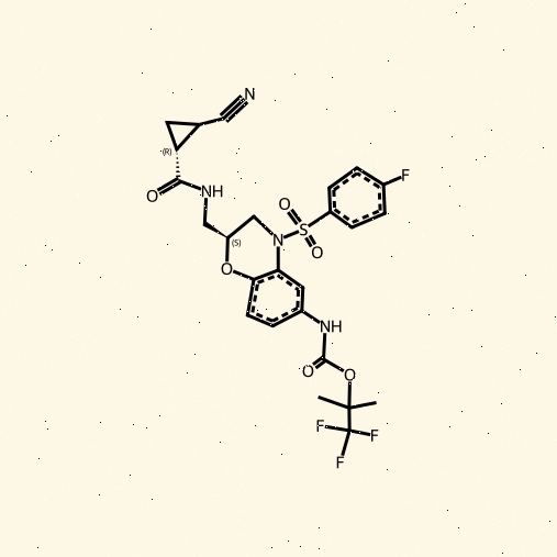 CC(C)(OC(=O)Nc1ccc2c(c1)N(S(=O)(=O)c1ccc(F)cc1)C[C@H](CNC(=O)[C@@H]1CC1C#N)O2)C(F)(F)F